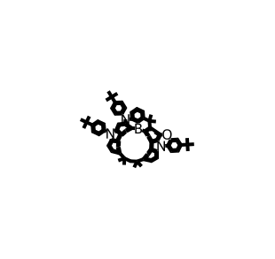 CC(C)(C)c1ccc(N2c3cc4c5cc3B3c6cc7c8cc(ccc8n8c7c(c6C(C)(C)c6cccc2c63)Oc2cc(C(C)(C)C)ccc2-8)C(C)(C)CC(C)(C)c2ccc(c5c2)n4-c2ccc(C(C)(C)C)cc2)cc1